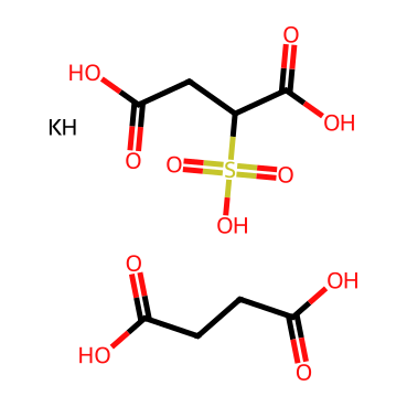 O=C(O)CC(C(=O)O)S(=O)(=O)O.O=C(O)CCC(=O)O.[KH]